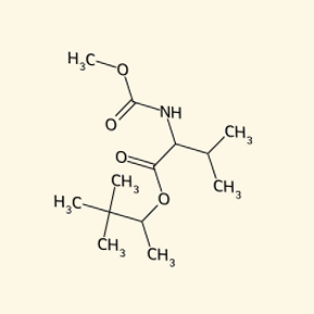 COC(=O)NC(C(=O)OC(C)C(C)(C)C)C(C)C